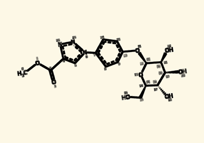 COC(=O)c1cn(-c2ccc(O[C@@H]3O[C@H](CO)[C@@H](O)[C@H](O)[C@@H]3O)cc2)nn1